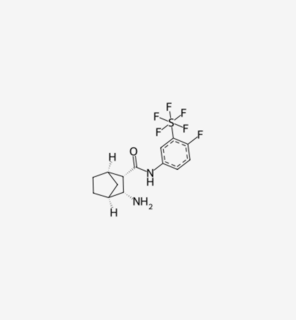 N[C@@H]1[C@H]2CC[C@H](C2)[C@@H]1C(=O)Nc1ccc(F)c(S(F)(F)(F)(F)F)c1